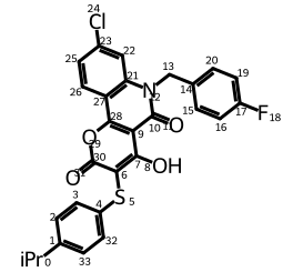 CC(C)c1ccc(Sc2c(O)c3c(=O)n(Cc4ccc(F)cc4)c4cc(Cl)ccc4c3oc2=O)cc1